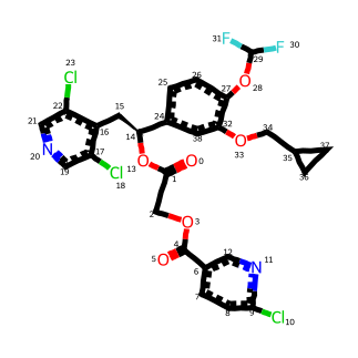 O=C(COC(=O)c1ccc(Cl)nc1)O[C@@H](Cc1c(Cl)cncc1Cl)c1ccc(OC(F)F)c(OCC2CC2)c1